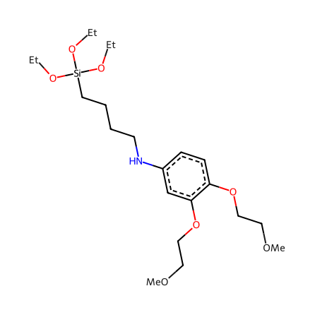 CCO[Si](CCCCNc1ccc(OCCOC)c(OCCOC)c1)(OCC)OCC